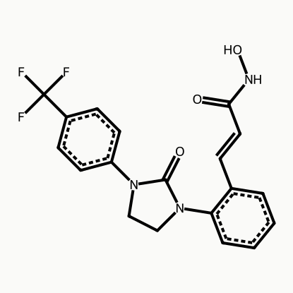 O=C(C=Cc1ccccc1N1CCN(c2ccc(C(F)(F)F)cc2)C1=O)NO